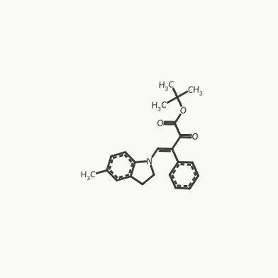 Cc1ccc2c(c1)CCN2/C=C(/C(=O)C(=O)OC(C)(C)C)c1ccccc1